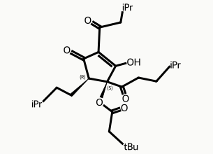 CC(C)CCC(=O)[C@@]1(OC(=O)CC(C)(C)C)C(O)=C(C(=O)CC(C)C)C(=O)[C@@H]1CCC(C)C